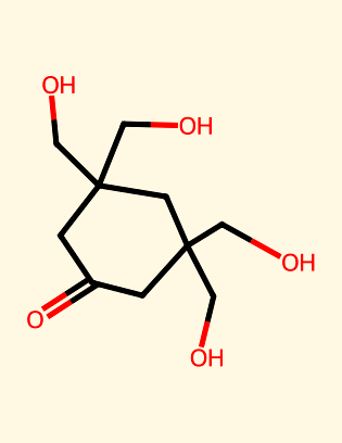 O=C1CC(CO)(CO)CC(CO)(CO)C1